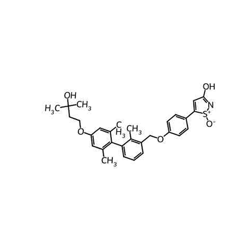 Cc1cc(OCCC(C)(C)O)cc(C)c1-c1cccc(COc2ccc(-c3cc(O)n[s+]3[O-])cc2)c1C